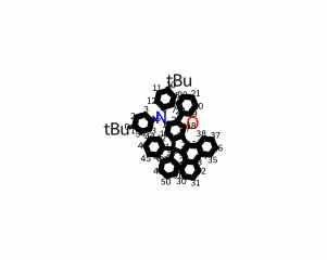 CC(C)(C)c1ccc(N(c2ccc(C(C)(C)C)cc2)c2cc3c(c4oc5ccccc5c24)-c2c(c4ccccc4c4ccccc24)C3(c2ccccc2)c2ccccc2)cc1